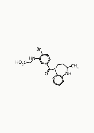 CC1CCN(C(=O)c2ccc(Br)c(NCC(=O)O)c2)c2ccccc2N1